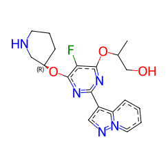 CC(CO)Oc1nc(-c2cnn3ccccc23)nc(O[C@@H]2CCCNC2)c1F